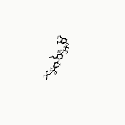 CCCC1CC(NC(=O)C(C)(C)Oc2ccc(Cl)c(F)c2)CCN1c1ccc(C(=O)NCC(F)(F)F)cn1